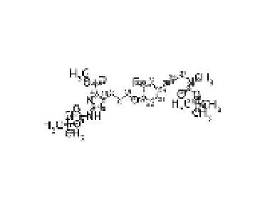 COC(=O)c1nc(NC(=O)OC(C)(C)C)sc1CCCOc1ccc(C#CCN(C)C(=O)OC(C)(C)C)cc1F